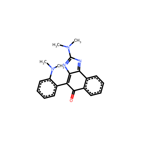 CN(C)C1=NC2=C(c3ccccc3N(C)C)C(=O)c3ccccc3C2=N1